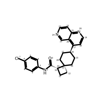 O=C(Nc1ccc(Cl)cc1)[C@H]1CC[C@]12CC[C@H](c1ccnc3ccncc31)CC2